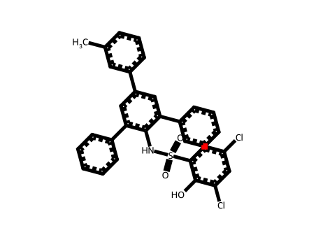 Cc1cccc(-c2cc(-c3ccccc3)c(NS(=O)(=O)c3cc(Cl)cc(Cl)c3O)c(-c3ccccc3)c2)c1